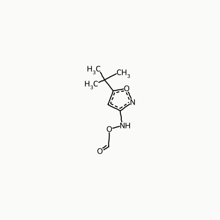 CC(C)(C)c1cc(NOC=O)no1